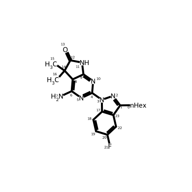 CCCCCCc1nn(-c2nc(N)c3c(n2)NC(=O)C3(C)C)c2ccc(F)cc12